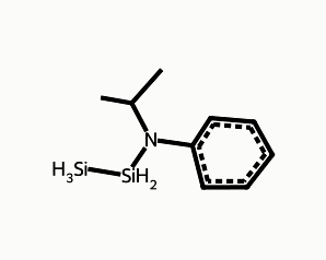 CC(C)N([SiH2][SiH3])c1ccccc1